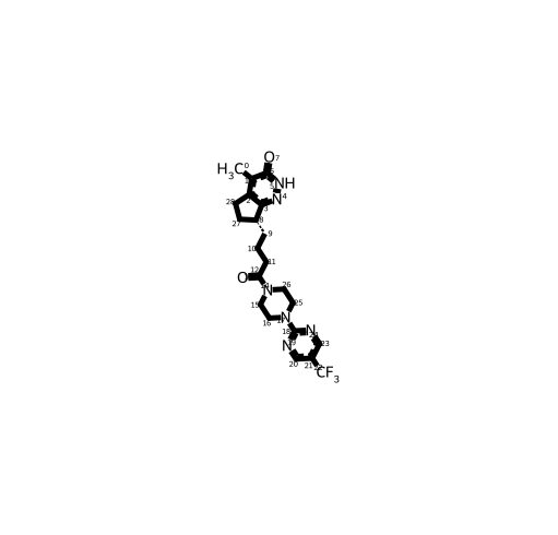 Cc1c2c(n[nH]c1=O)[C@H](CCCC(=O)N1CCN(c3ncc(C(F)(F)F)cn3)CC1)CC2